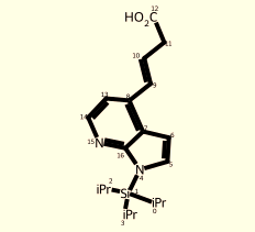 CC(C)[Si](C(C)C)(C(C)C)n1ccc2c(C=CCC(=O)O)ccnc21